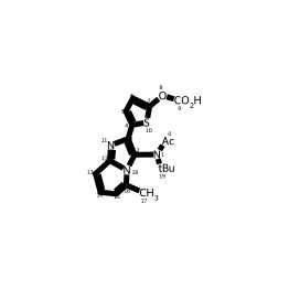 CC(=O)N(c1c(-c2ccc(OC(=O)O)s2)nc2cccc(C)n12)C(C)(C)C